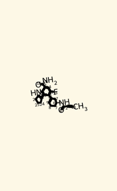 CC#CC(=O)N[C@H]1CCC=C(c2c(F)cc(C(N)=O)c3[nH]c4c(c23)CCC4)C1